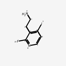 NCCc1c(I)ccnc1F